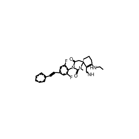 CCNC1=C(C=N)[C@]2(CCC1)CC(=O)N(c1c(F)cc(C#Cc3ccccc3)cc1F)C(=O)N2C